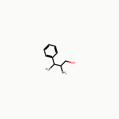 BC(CO)C(B)c1ccccc1